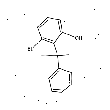 CCc1cccc(O)c1C(C)(C)c1ccccc1